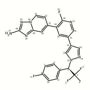 CC(F)(F)[C@@H](c1ccc(F)cc1)n1cc(-c2cnc(F)c(-c3ccn4nc(N)nc4c3)c2)cn1